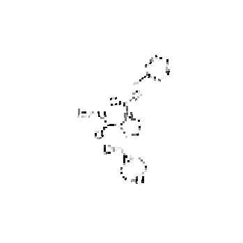 CC(C)(C)OC(=O)[C@@H]1[C@@H](C(=O)N2CCOCC2)CCN1C(=O)OCc1ccccc1